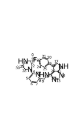 C[C@@H]1CN(c2cccc(CNc3ncnc4[nH]cc(-c5ccc(F)cc5)c34)n2)C[C@H](C)N1